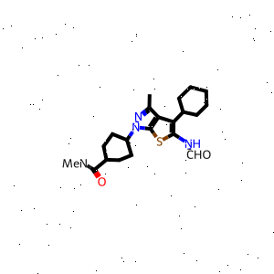 CNC(=O)C1CCC(n2nc(C)c3c(C4CCCCC4)c(NC=O)sc32)CC1